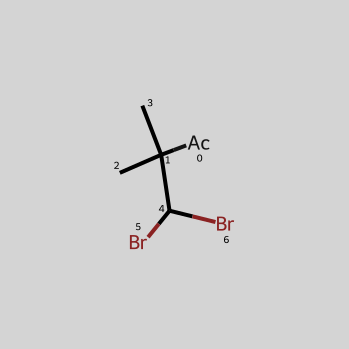 CC(=O)C(C)(C)C(Br)Br